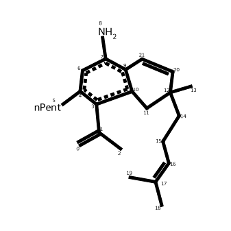 C=C(C)c1c(CCCCC)cc(N)c2c1CC(C)(CCC=C(C)C)C=C2